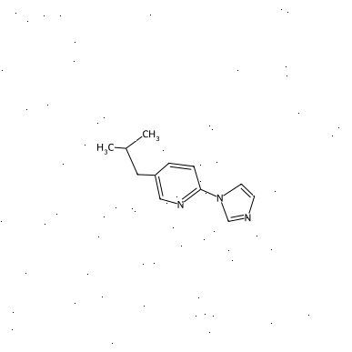 CC(C)Cc1ccc(-n2ccnc2)nc1